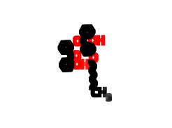 CCCCCCCCOc1ccc(C(=O)c2ccccc2)c(O)c1.O=C(c1ccccc1)c1ccccc1O